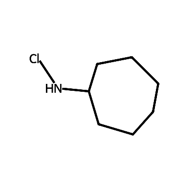 ClNC1CCCCCC1